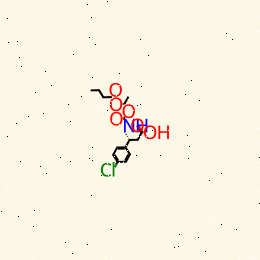 CCCC(=O)OC(C)OC(=O)NC[C@H](CC(=O)O)c1ccc(Cl)cc1